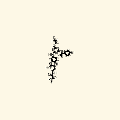 CN(C)C(=O)C(=O)NCC[C@H](Nc1ccc(Nc2nc(NC3(c4ccc(Cl)cc4)CC3)nc(OCC(F)(F)F)n2)cc1)C(=O)O